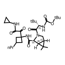 CCCC1CC(NC(=O)[C@@H]2[C@@H]3[C@H](CN2C(=O)[C@@H](NC(=O)OC(C)(C)C)C(C)(C)C)C3(C)C)(C(=O)C(=O)NC2CC2)C1